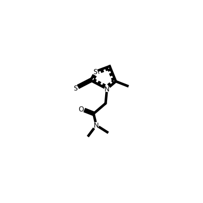 Cc1csc(=S)n1CC(=O)N(C)C